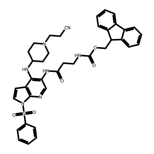 N#CCCN1CCC(Nc2c(NC(=O)CCNC(=O)OCC3c4ccccc4-c4ccccc43)cnc3c2ccn3S(=O)(=O)c2ccccc2)CC1